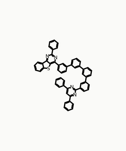 c1ccc(-c2cc(-c3ccccc3)nc(-c3cccc(-c4cccc(-c5cccc(-c6cccc(-c7nc(-c8ccccc8)nc8c7sc7ccccc78)c6)c5)c4)c3)n2)cc1